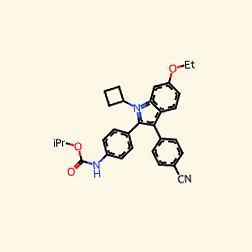 CCOc1ccc2c(-c3ccc(C#N)cc3)c(-c3ccc(NC(=O)OC(C)C)cc3)n(C3CCC3)c2c1